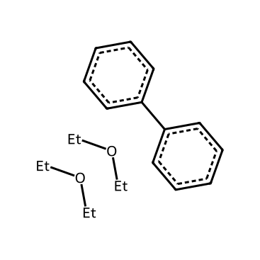 CCOCC.CCOCC.c1ccc(-c2ccccc2)cc1